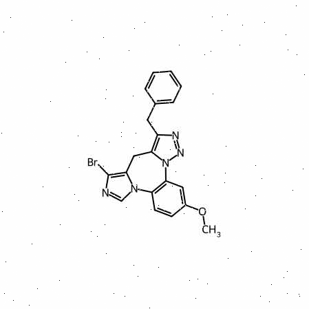 COc1ccc2c(c1)-n1nnc(Cc3ccccc3)c1Cc1c(Br)ncn1-2